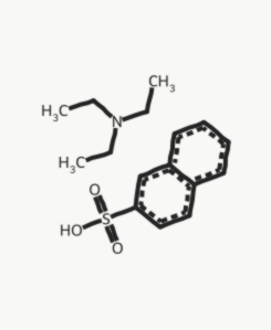 CCN(CC)CC.O=S(=O)(O)c1ccc2ccccc2c1